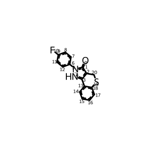 O=c1c2c([nH]n1-c1ccc(F)cc1)-c1ccccc1SC2